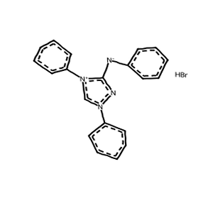 Br.c1ccc([N-]c2nn(-c3ccccc3)c[n+]2-c2ccccc2)cc1